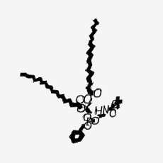 CCCCCCCCCCCCCCCCCC(=O)OC[C@@H](COP(OCCNC(=O)OC(C)(C)C)OCc1ccccc1)OC(=O)CCCCCCCCCCCCCCCCC